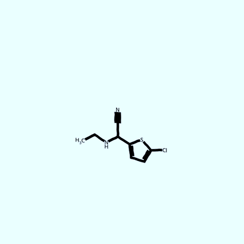 CCNC(C#N)c1ccc(Cl)s1